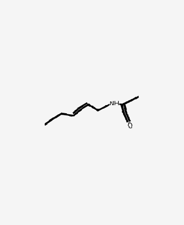 CCC=CCNC(C)=O